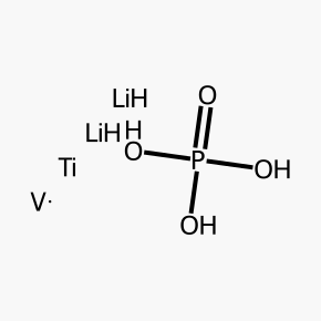 O=P(O)(O)O.[LiH].[LiH].[Ti].[V]